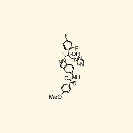 COc1ccc(S(=O)(=O)Nc2ccc3c(cnn3[C@H](C)[C@](O)(Cn3cncn3)c3ccc(F)cc3F)c2)cc1